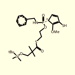 COC1=C(S)C=C[C@H]1P(=O)(NCc1ccccc1)OCCSC(=O)C(C)(C)CO[Si](C)(C)C(C)(C)C